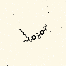 CCCCCCCCC(CCC)Oc1ccc(OC(=O)c2ccc(C(C)OCC)cc2)cc1